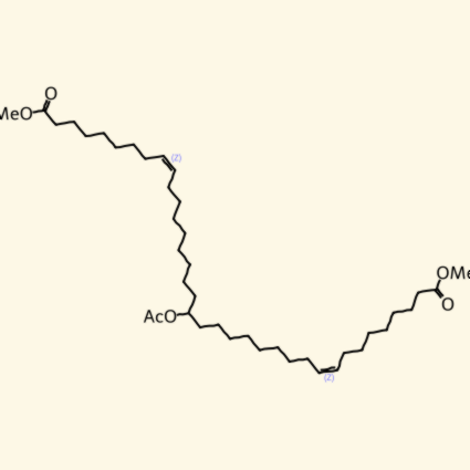 COC(=O)CCCCCCC/C=C\CCCCCCCCC(CCCCCCCC/C=C\CCCCCCCC(=O)OC)OC(C)=O